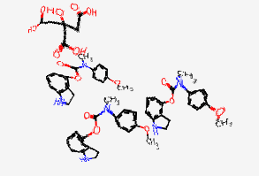 COc1ccc(N(C)C(=O)Oc2cccc3c2CCN3)cc1.COc1ccc(N(C)C(=O)Oc2cccc3c2CCN3)cc1.COc1ccc(N(C)C(=O)Oc2cccc3c2CCN3)cc1.O=C(O)CC(O)(CC(=O)O)C(=O)O